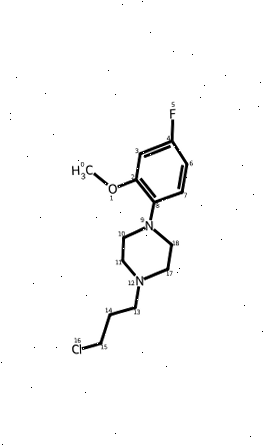 COc1cc(F)ccc1N1CCN(CCCCl)CC1